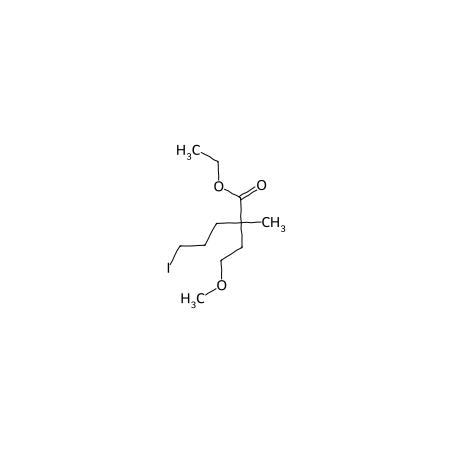 CCOC(=O)C(C)(CCCI)CCOC